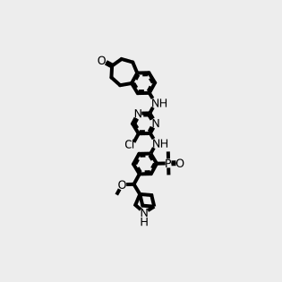 COC(c1ccc(Nc2nc(Nc3ccc4c(c3)CCC(=O)CC4)ncc2Cl)c(P(C)(C)=O)c1)C12CNC(C1)C2